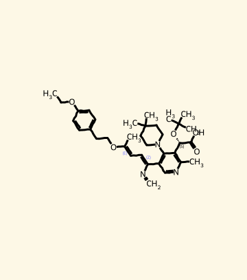 C=N/C(=C\C=C(/C)OCCc1ccc(OCC)cc1)c1cnc(C)c([C@H](OC(C)(C)C)C(=O)O)c1N1CCC(C)(C)CC1